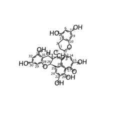 C[C@@H]1Cc2c(O)cc(O)cc2O[C@@H]1c1cc(O)c(=O)c2c(O)c(O)cc([C@H]3Oc4cc(O)cc(O)c4C[C@H]3C)c2c1